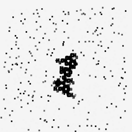 COc1ccnc(C(=O)N[C@@H](C)C(=O)O[C@@H](C)[C@@H](c2ccc(C)cc2C)C2CCC2)c1OC(C)=O